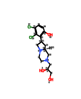 OC[C@@H](O)CN1CCN2C[C@@H](c3c(O)ccc(Cl)c3Cl)C[C@H]2C1